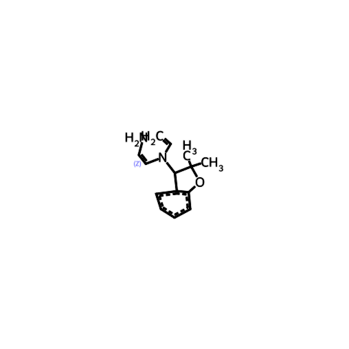 C=CN(/C=C\N)C1c2ccccc2OC1(C)C